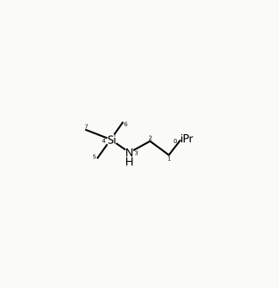 CC(C)CCN[Si](C)(C)C